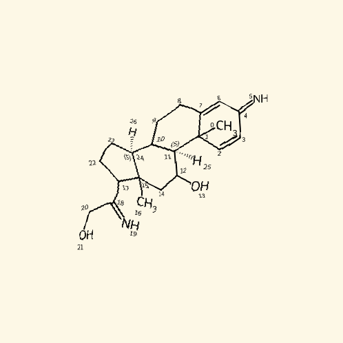 CC12C=CC(=N)C=C1CCC1[C@@H]2C(O)CC2(C)C(C(=N)CO)CC[C@@H]12